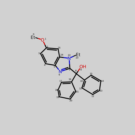 CCOc1ccc2nc(C(O)(c3ccccc3)c3ccccc3)n(CC)c2c1